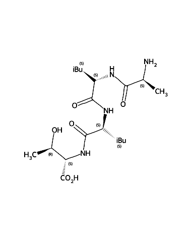 CC[C@H](C)[C@H](NC(=O)[C@H](C)N)C(=O)N[C@H](C(=O)N[C@H](C(=O)O)[C@@H](C)O)[C@@H](C)CC